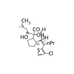 C/C=C\C[C@@H](O)C(O)(C(=O)O)C1CCC[C@@H]1/C(O)=C(/CCC)c1sccc1Cl